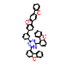 c1cc(-c2ccc3c(c2)oc2cc4c(cc23)oc2ccccc24)cc(-c2nc(-c3cccc4oc5ccccc5c34)nc(-c3cccc4oc5ccccc5c34)n2)c1